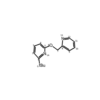 CC(C)(C)c1cccc(OCc2ccccn2)n1